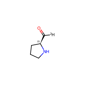 [2H]C(=O)[C@@H]1CCCN1